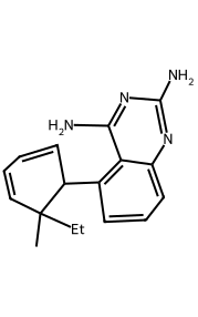 CCC1(C)C=CC=CC1c1cccc2nc(N)nc(N)c12